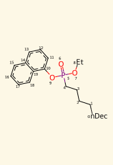 CCCCCCCCCCCCCCP(=O)(OCC)Oc1cccc2ccccc12